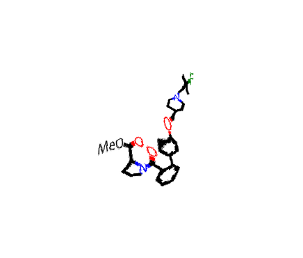 COC(=O)C1CCCN1C(=O)c1ccccc1-c1ccc(OCC2CCN(CC(C)(C)F)CC2)cc1